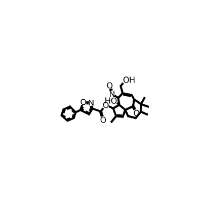 CC1=CC23CCC(C)C(C)(C)C(C=C(CO)C(N=O)C2(O)C1OC(=O)c1cc(-c2ccccc2)on1)C3=O